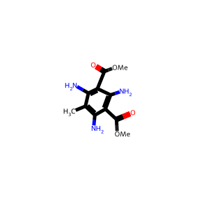 COC(=O)c1c(N)c(C)c(N)c(C(=O)OC)c1N